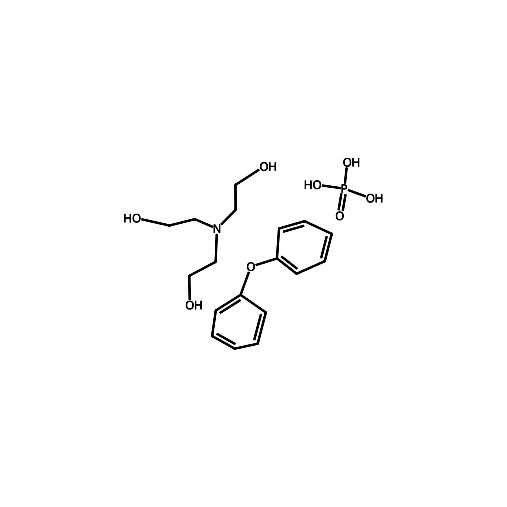 O=P(O)(O)O.OCCN(CCO)CCO.c1ccc(Oc2ccccc2)cc1